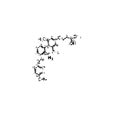 Cc1cc(OCC[C@@H](C)O)cc(C)c1-c1cccc(COc2ccc(C=O)cc2)c1C